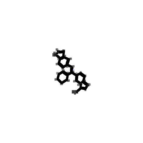 Nc1cnc2ccc(/C(=N/c3ccc4[nH]ncc4c3)C3=CCCCC3)cn12